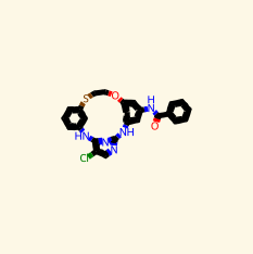 O=C(Nc1cc2cc(c1)OCCSc1cccc(c1)Nc1nc(ncc1Cl)N2)c1ccccc1